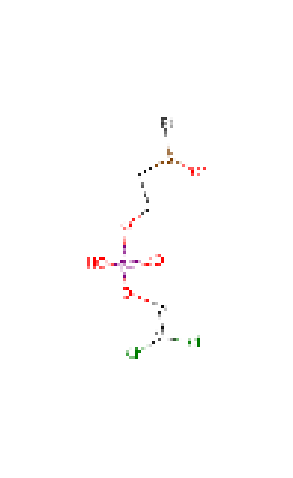 CC[S+]([O-])CCOP(=O)(O)OC=C(Cl)Cl